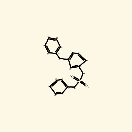 O=S(=O)(Cc1[c]ccc(Cc2ccccc2)c1)Cc1ccccc1